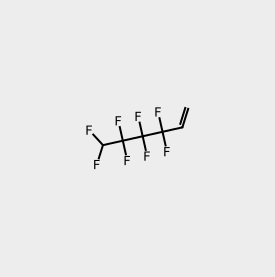 C=CC(F)(F)C(F)(F)C(F)(F)C(F)F